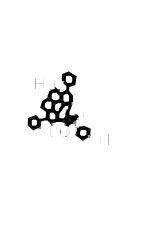 CCCCc1ccccc1-c1cc2c3c(=O)n(-c4ccc(C)cc4)c(=O)c3c3cc(-c4ccccc4C)c4ccc5ccc1c1c5c4c3c21